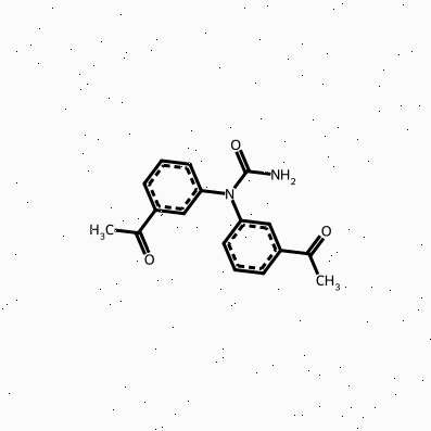 CC(=O)c1cccc(N(C(N)=O)c2cccc(C(C)=O)c2)c1